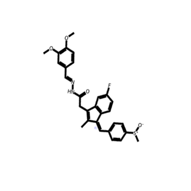 COc1ccc(C=NNC(=O)CC2=C(C)/C(=C/c3ccc([S+](C)[O-])cc3)c3ccc(F)cc32)cc1OC